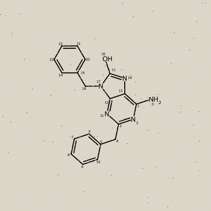 Nc1nc(Cc2ccccc2)nc2c1nc(O)n2Cc1ccccc1